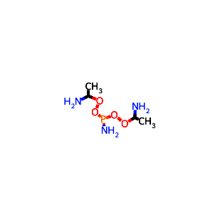 CC(N)OOP(N)OOC(C)N